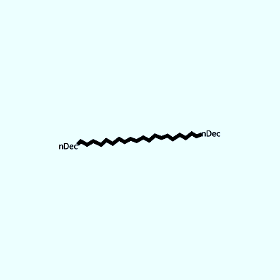 [CH2]CCCCCCCCCCCCCCCCCCCCCCCCCCCCCCCCCCCCCCC